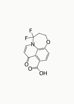 O=C(O)c1ccc2c3c1c(=O)ccn3C(F)(F)CCO2